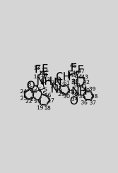 Cn1c(CCCC2(C(=O)NCC(F)(F)F)c3ccccc3-c3ccccc32)nc2ccc(NC(=O)c3ccccc3-c3ccc(C(F)(F)F)cc3)cc21